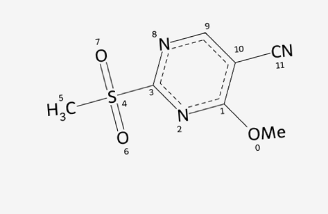 COc1nc(S(C)(=O)=O)ncc1C#N